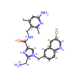 Cc1cc(N)nc(C)c1CNC(=O)c1cn(Cc2ccc3ncc(Cl)cc3c2)c(CN)n1